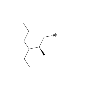 CCCC(CC)[C@H](C)[CH2][Al]